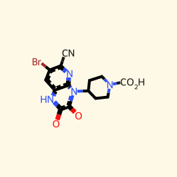 N#Cc1nc2c(cc1Br)[nH]c(=O)c(=O)n2C1CCN(C(=O)O)CC1